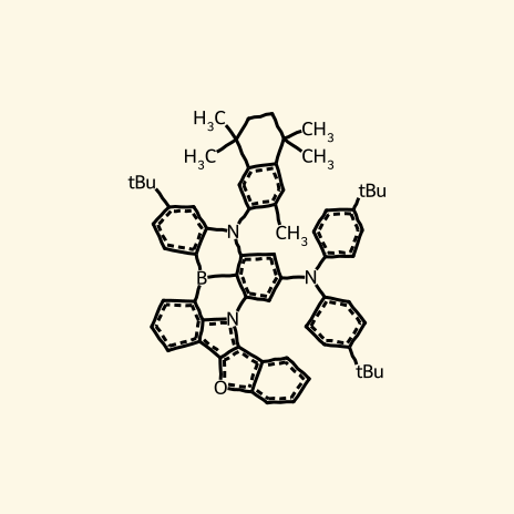 Cc1cc2c(cc1N1c3cc(C(C)(C)C)ccc3B3c4c1cc(N(c1ccc(C(C)(C)C)cc1)c1ccc(C(C)(C)C)cc1)cc4-n1c4c3cccc4c3oc4ccccc4c31)C(C)(C)CCC2(C)C